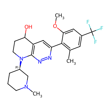 COc1cc(C(F)(F)F)cc(C)c1-c1cc2c(nn1)N([C@@H]1CCCN(C)C1)CCC2O